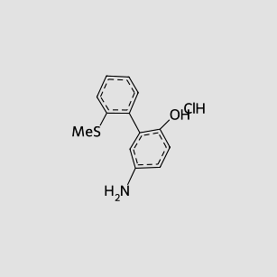 CSc1ccccc1-c1cc(N)ccc1O.Cl